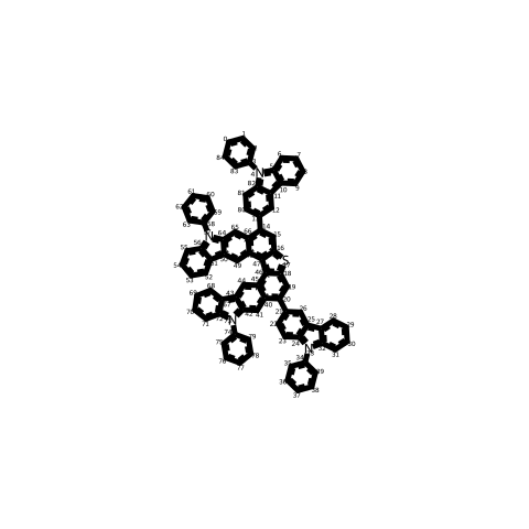 c1ccc(-n2c3ccccc3c3cc(-c4cc5sc6cc(-c7ccc8c(c7)c7ccccc7n8-c7ccccc7)c7cc8c(cc7c6c5c5cc6c7ccccc7n(-c7ccccc7)c6cc45)c4ccccc4n8-c4ccccc4)ccc32)cc1